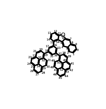 c1ccc2cc3c(cc2c1)oc1cccc(-c2cc(-c4ccc5ccc6cccc7ccc4c5c67)cc(-c4ccc5ccc6cccc7ccc4c5c67)c2)c13